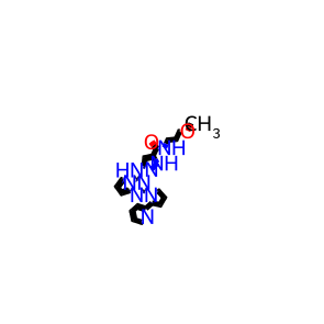 COCCCNC(=O)c1cc(Nc2nc(N3CCCC3c3ccccn3)nc3cccn23)n[nH]1